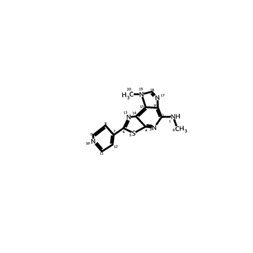 CNc1nc2sc(-c3ccncc3)nc2c2c1ncn2C